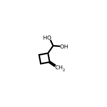 C=C1CCC1C(O)O